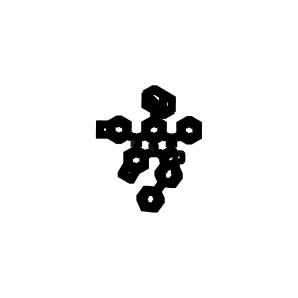 c1ccc(-c2ccc3oc4c(c3c2)B2c3cc5c(cc3N(c3ccc6c(c3)CC6)c3cc(C67CC8CC(CC(C8)C6)C7)cc(c32)N4c2ccccc2)CC5)cc1